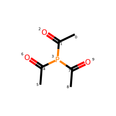 CC(=O)P(C(C)=O)C(C)=O